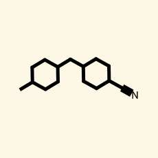 CC1CCC(CC2CCC(C#N)CC2)CC1